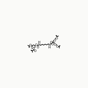 C=C(C)OCOCC1(COCOC(=C)C)OC(NCCCCCCNC(=O)OC(COC(=O)C(=C)C)CC(=O)OC(=C)C)O1